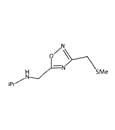 CSCc1noc(CNC(C)C)n1